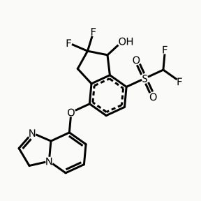 O=S(=O)(c1ccc(OC2=CC=CN3CC=NC23)c2c1C(O)C(F)(F)C2)C(F)F